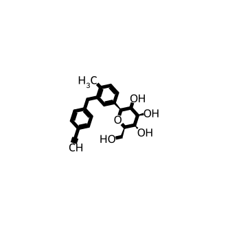 C#Cc1ccc(Cc2cc([C@@H]3O[C@H](CO)[C@@H](O)[C@H](O)C3O)ccc2C)cc1